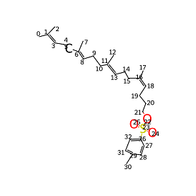 CC(C)=CCC/C(C)=C/CC/C(C)=C/CCC(C)=CCCCOS(=O)(=O)c1ccc(C)cc1